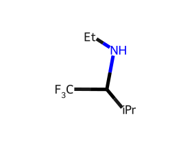 CCNC(C(C)C)C(F)(F)F